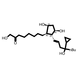 CCCCC(O)(CC=C[C@@H]1[C@@H](CCCCCCC(=O)CO)[C@@H](O)C[C@H]1O)C1CC1